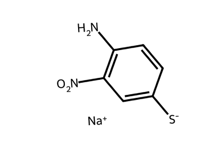 Nc1ccc([S-])cc1[N+](=O)[O-].[Na+]